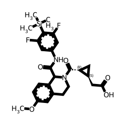 COc1ccc2c(c1)CCN(C(=O)[C@@H]1C[C@H]1CC(=O)O)C2C(=O)Nc1cc(F)c([Si](C)(C)C)c(F)c1